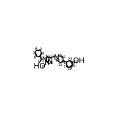 OCC(c1ccccc1)n1cc(CN2CCC(c3cccc(O)c3)CC2)nn1